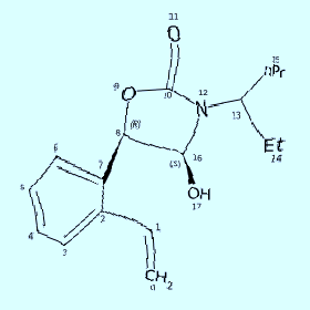 C=Cc1ccccc1[C@H]1OC(=O)N(C(CC)CCC)[C@H]1O